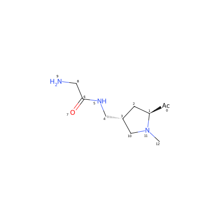 CC(=O)[C@@H]1C[C@@H](CNC(=O)CN)CN1C